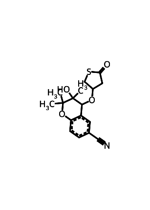 CC1(C)Oc2ccc(C#N)cc2C(OC2CSC(=O)C2)C1(C)O